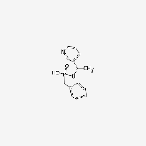 [CH2]C(OP(=O)(O)Cc1ccccc1)c1cccnc1